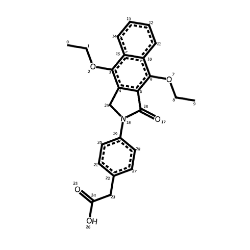 CCOc1c2c(c(OCC)c3ccccc13)C(=O)N(c1ccc(CC(=O)O)cc1)C2